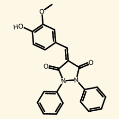 COc1cc(C=C2C(=O)N(c3ccccc3)N(c3ccccc3)C2=O)ccc1O